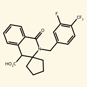 O=C(O)C1c2ccccc2C(=O)N(Cc2ccc(C(F)(F)F)c(F)c2)C12CCCC2